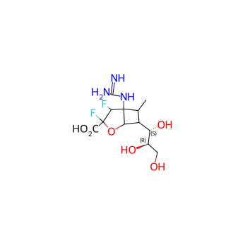 CC1C([C@H](O)[C@H](O)CO)C2OC(F)(C(=O)O)C(F)C12NC(=N)N